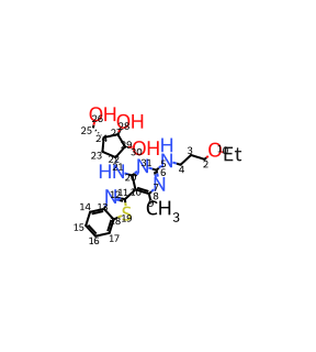 CCOCCCNc1nc(C)c(-c2nc3ccccc3s2)c(N[C@@H]2C[C@H](CO)[C@@H](O)[C@H]2O)n1